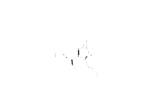 COCc1n[nH]cc1C(N)=O